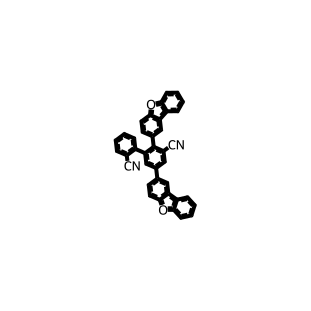 N#Cc1ccccc1-c1cc(-c2ccc3oc4ccccc4c3c2)cc(C#N)c1-c1ccc2oc3ccccc3c2c1